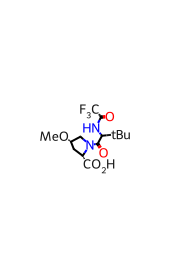 CO[C@H]1C[C@@H](C(=O)O)N(C(=O)C(NC(=O)C(F)(F)F)C(C)(C)C)C1